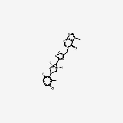 Cn1cnc2ncn(Cc3nc(C4[C@H]5CN(c6c(F)ccc(Cl)c6F)C[C@@H]45)no3)c(=O)c21